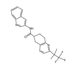 CC(C)(c1ccc2c(n1)CCC(C(=O)Nc1cnc3ccccc3c1)C2)C(F)(F)F